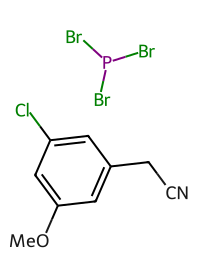 BrP(Br)Br.COc1cc(Cl)cc(CC#N)c1